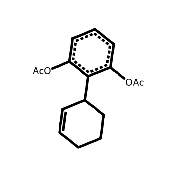 CC(=O)Oc1cccc(OC(C)=O)c1C1C=CCCC1